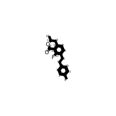 Cc1ccc(CCc2ccc3c(c2F)C(=O)OC(C)C3)cc1